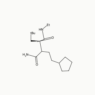 CCNC(=O)[C@H](CC(C)(C)C)C(CCC1CCCC1)C(N)=O